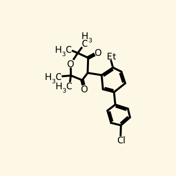 CCc1ccc(-c2ccc(Cl)cc2)cc1C1C(=O)C(C)(C)OC(C)(C)C1=O